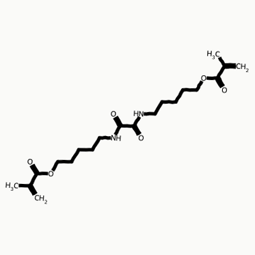 C=C(C)C(=O)OCCCCCNC(=O)C(=O)NCCCCCOC(=O)C(=C)C